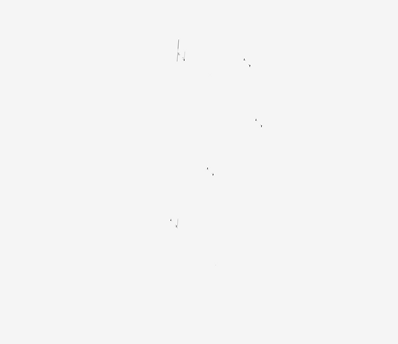 Cc1cn(-c2ncnc3[nH]c(I)cc23)cn1